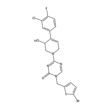 O=c1nc(N2CC=C(c3ccc(F)c(Cl)c3)C(O)C2)ncn1Cc1ccc(Br)s1